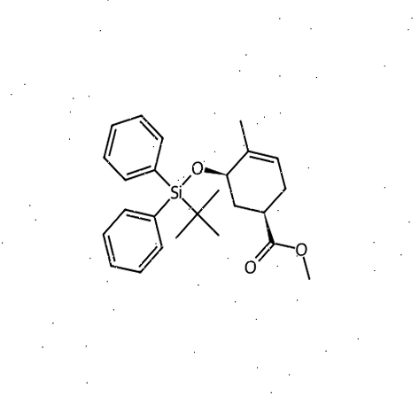 COC(=O)[C@@H]1CC=C(C)[C@H](O[Si](c2ccccc2)(c2ccccc2)C(C)(C)C)C1